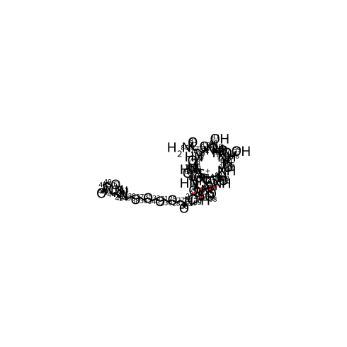 CC[C@H](C)[C@@H]1NC(=O)CNC(=O)[C@@H]2Cc3c([nH]c4c(CSC5CCN(C(=O)CCOCCOCCOCCOCCn6cc(CN7C(=O)C=CC7=O)nn6)CC5)c(OC)ccc34)[S+]([O-])C[C@H](NC(=O)CNC1=O)C(=O)N[C@@H](CCC(N)=O)C(=O)N1C[C@H](O)C[C@H]1C(=O)N[C@@H]([C@@H](C)[C@@H](O)CO)C(=O)N2